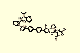 COC(=O)N[C@H](C(=O)N1CCC[C@H]1c1ncc(-c2ccc(-c3ccc(-c4cnc([C@@H]5C6CCC(C6)C5C(=O)N[C@H](c5cccnc5)C(C)C)[nH]4)cc3)cc2)[nH]1)[C@@H](C)OC